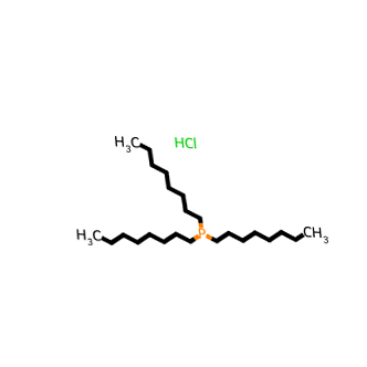 CCCCCCCCP(CCCCCCCC)CCCCCCCC.Cl